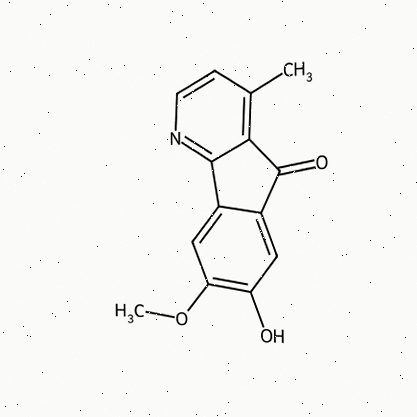 COc1cc2c(cc1O)C(=O)c1c(C)ccnc1-2